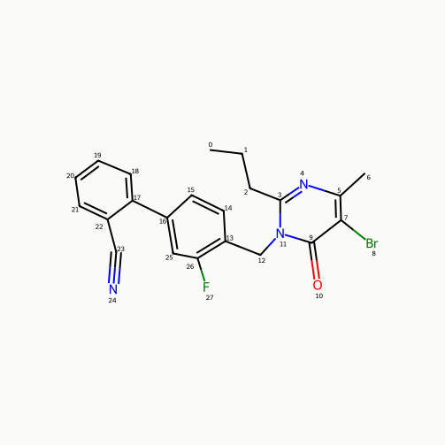 CCCc1nc(C)c(Br)c(=O)n1Cc1ccc(-c2ccccc2C#N)cc1F